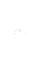 O=c1cc(OCc2ccccc2)ccn1-c1ccc2sc3c(c2c1)CNCCC3